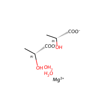 C[C@@H](O)C(=O)[O-].C[C@@H](O)C(=O)[O-].O.O.[Mg+2]